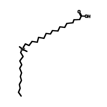 CCCCCCCCCCCC[N+](C)(C)CCCCCCCCCCCCCCCCC(=O)O